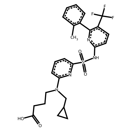 Cc1ccccc1-c1nc(NS(=O)(=O)c2cccc(N(CCCC(=O)O)CC3CC3)n2)ccc1C(F)(F)F